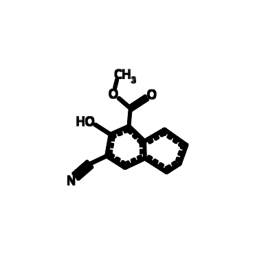 COC(=O)c1c(O)c(C#N)cc2ccccc12